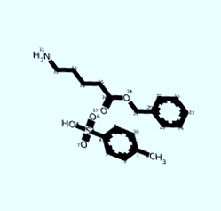 Cc1ccc(S(=O)(=O)O)cc1.NCCCCC(=O)OCc1ccccc1